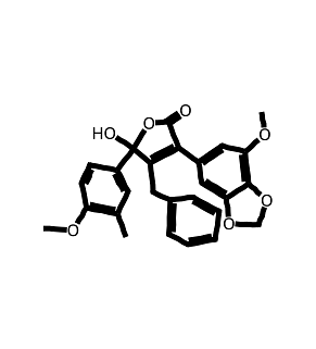 COc1ccc(C2(O)OC(=O)C(c3cc(OC)c4c(c3)OCO4)=C2Cc2ccccc2)cc1C